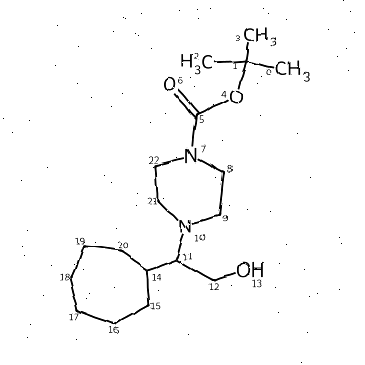 CC(C)(C)OC(=O)N1CCN(C(CO)C2CCCCCC2)CC1